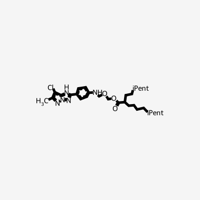 CCCC(C)CCCCC(CCC(C)CCC)C(=O)OCOCNc1ccc(-c2nn3nc(C)c(Cl)c3[nH]2)cc1